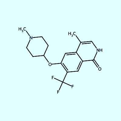 Cc1c[nH]c(=O)c2cc(C(F)(F)F)c(OC3CCN(C)CC3)cc12